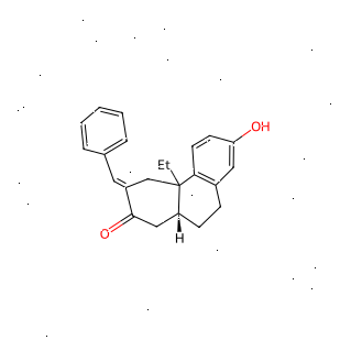 CCC12CC(=Cc3ccccc3)C(=O)C[C@H]1CCc1cc(O)ccc12